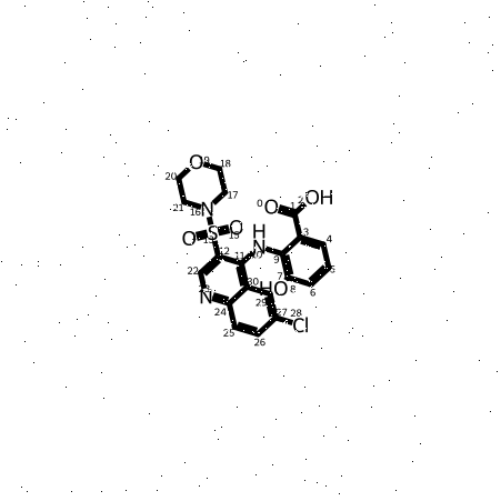 O=C(O)c1cccc(O)c1Nc1c(S(=O)(=O)N2CCOCC2)cnc2ccc(Cl)cc12